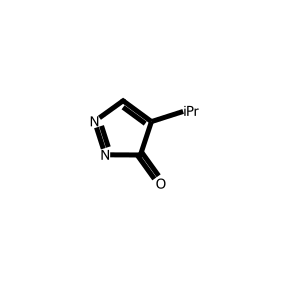 CC(C)C1=CN=NC1=O